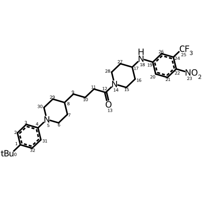 CC(C)(C)c1ccc(N2CCC(CCCC(=O)N3CCC(Nc4ccc([N+](=O)[O-])c(C(F)(F)F)c4)CC3)CC2)cc1